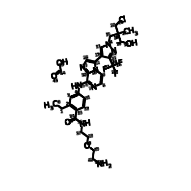 CCc1cc(Nc2nccn3c(-c4cn(CC(C)(CO)CCl)nc4C(F)(F)F)cnc23)ccc1C(=O)NCCOCCN.O=CO